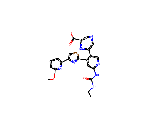 CCNC(=O)Nc1cc(-c2nc(-c3cccc(OC)n3)cs2)c(-c2cncc(C(=O)O)n2)cn1